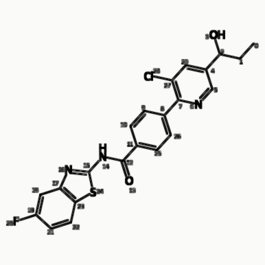 CCC(O)c1cnc(-c2ccc(C(=O)Nc3nc4cc(F)ccc4s3)cc2)c(Cl)c1